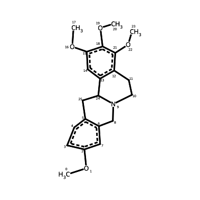 COc1ccc2c(c1)CN1CCc3c(cc(OC)c(OC)c3OC)C1C2